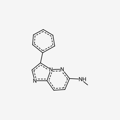 CNc1ccc2ncc(-c3ccccc3)n2n1